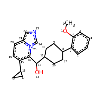 COc1ccccc1C1CCC(C(O)c2c(C3CC3)ccc3cncn23)CC1